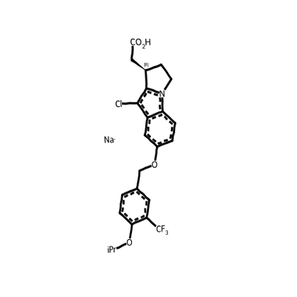 CC(C)Oc1ccc(COc2ccc3c(c2)c(Cl)c2n3CC[C@@H]2CC(=O)O)cc1C(F)(F)F.[Na]